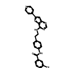 O=C(Nc1ccc(CCNc2ncnc3cc(-c4ccncc4)sc23)cc1)c1cccc(C(F)(F)F)c1